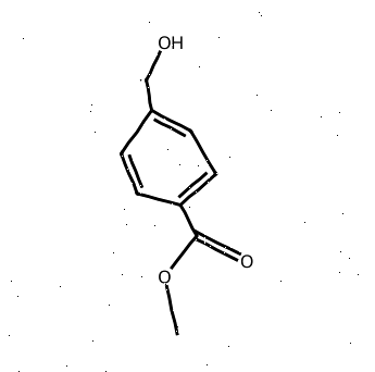 COC(=O)c1ccc([CH]O)cc1